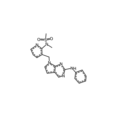 CN(c1ncccc1Cn1ccc2cnc(Nc3ccccc3)nc21)S(C)(=O)=O